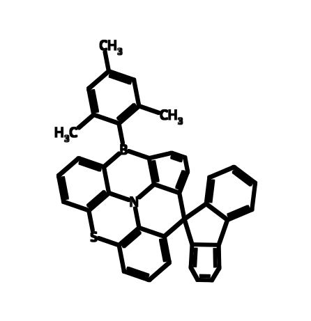 Cc1cc(C)c(B2c3cccc4c3N3c5c(cccc5C5(c6ccccc6-c6ccccc65)c5cccc2c53)S4)c(C)c1